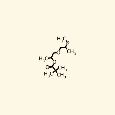 COC(C)COCC(C)OC(=O)C(C)(C)C